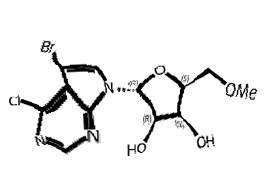 COC[C@@H]1O[C@@H](n2cc(Br)c3c(Cl)ncnc32)[C@H](O)[C@@H]1O